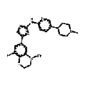 CC(C)N1CCOc2c(F)cc(-c3cnc(Nc4ccc(C5CCN(C)CC5)cn4)s3)cc21